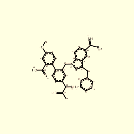 COc1ccc(-c2ccc(C(N)C(C)=O)cc2Cn2cc(Cc3ccccc3)c3cc(C(=N)N)ccc32)c(C(=O)O)c1